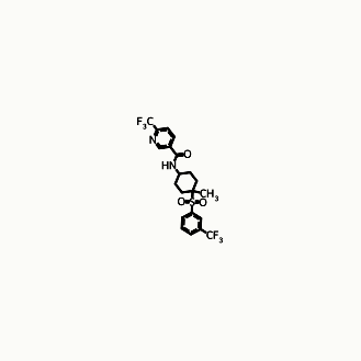 CC1(S(=O)(=O)c2cccc(C(F)(F)F)c2)CCC(NC(=O)c2ccc(C(F)(F)F)nc2)CC1